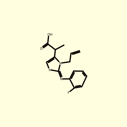 C=CCn1c(C(C)C(=O)O)csc1=Nc1ccccc1F